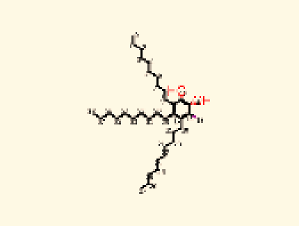 CCCCCCCCCCc1c(O)c(O)c(I)c(CCCCCCCCCC)c1CCCCCCCCCC